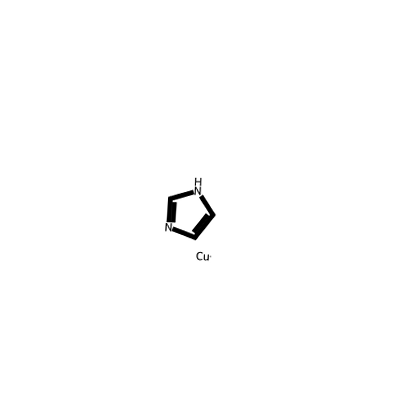 [Cu].c1c[nH]cn1